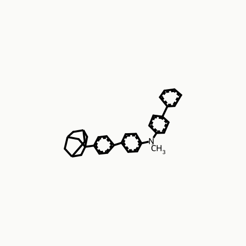 CN(c1ccc(-c2ccccc2)cc1)c1ccc(-c2ccc(C34CC5CC(CC(C5)C3)C4)cc2)cc1